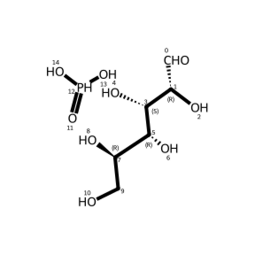 O=C[C@H](O)[C@@H](O)[C@H](O)[C@H](O)CO.O=[PH](O)O